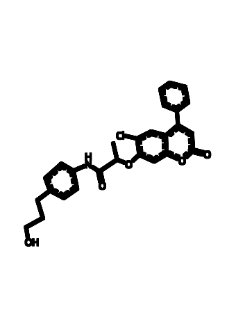 CC(Oc1cc2oc(=O)cc(-c3ccccc3)c2cc1Cl)C(=O)Nc1ccc(CCCO)cc1